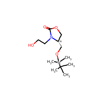 CC(C)(C)[Si](C)(C)OC[C@H]1COC(=O)N1CCO